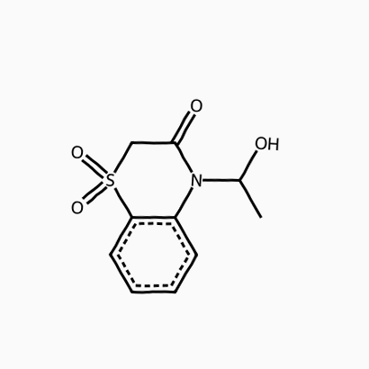 CC(O)N1C(=O)CS(=O)(=O)c2ccccc21